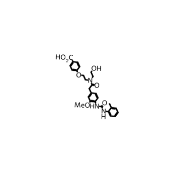 COc1cc(CC(=O)N(CCO)CCOc2ccc(C(=O)O)cc2)ccc1NC(=O)Nc1ccccc1C